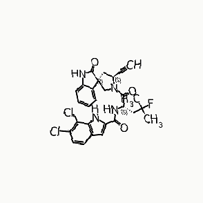 C#C[C@@H]1C[C@@]2(CN1C(=O)[C@H](CC(C)(C)F)NC(=O)c1cc3ccc(Cl)c(Cl)c3[nH]1)C(=O)Nc1ccccc12